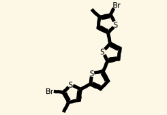 Cc1cc(-c2ccc(-c3ccc(-c4cc(C)c(Br)s4)s3)s2)sc1Br